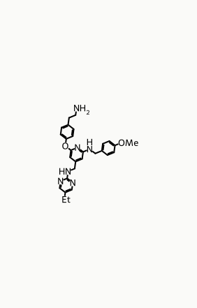 CCc1cnc(NCc2cc(NCc3ccc(OC)cc3)nc(Oc3ccc(CCN)cc3)c2)nc1